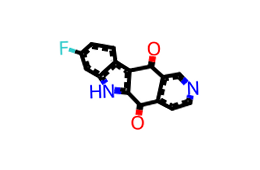 O=C1c2ccncc2C(=O)c2c1[nH]c1cc(F)ccc21